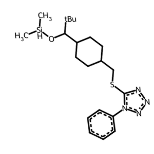 C[SiH](C)OC(C1CCC(CSc2nnnn2-c2ccccc2)CC1)C(C)(C)C